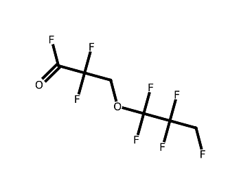 O=C(F)C(F)(F)COC(F)(F)C(F)(F)CF